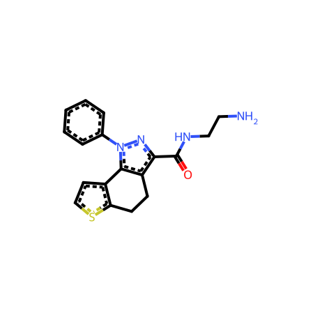 NCCNC(=O)c1nn(-c2ccccc2)c2c1CCc1sccc1-2